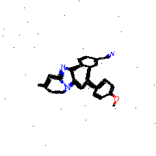 COc1ccc(-c2cc3c(nc4cc(C)ccn43)c3ccc(C#N)cc23)cc1